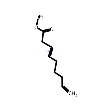 C=CCCC/C=C/CC(=O)OC(C)C